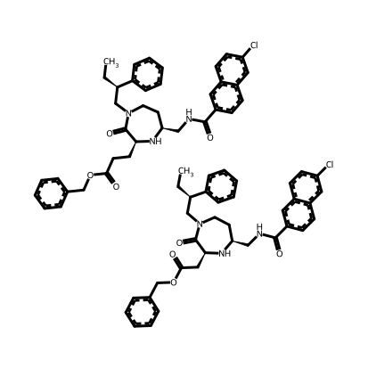 CC[C@H](CN1CC[C@@H](CNC(=O)c2ccc3cc(Cl)ccc3c2)N[C@@H](CC(=O)OCc2ccccc2)C1=O)c1ccccc1.CC[C@H](CN1CC[C@@H](CNC(=O)c2ccc3cc(Cl)ccc3c2)N[C@@H](CCC(=O)OCc2ccccc2)C1=O)c1ccccc1